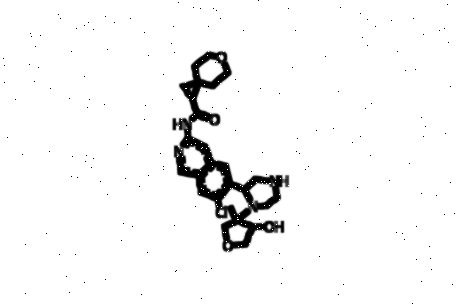 CC1(N2CCNCC2c2cc3cc(NC(=O)C4CC45CCOCC5)ncc3cc2Cl)COCC1O